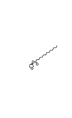 CCCCCCCCCCCCCC(=O)O[C@@H]1CCOC1